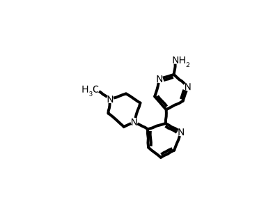 CN1CCN(c2cccnc2-c2cnc(N)nc2)CC1